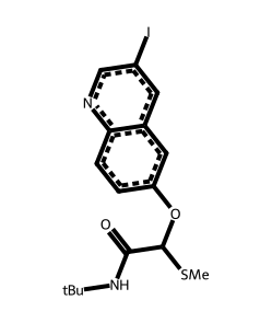 CSC(Oc1ccc2ncc(I)cc2c1)C(=O)NC(C)(C)C